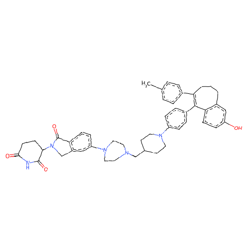 Cc1ccc(C2=C(c3ccc(N4CCC(CN5CCN(c6ccc7c(c6)CN(C6CCC(=O)NC6=O)C7=O)CC5)CC4)cc3)c3ccc(O)cc3CCC2)cc1